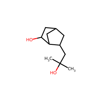 CC(C)(O)CC1CC2CC(O)C1C2